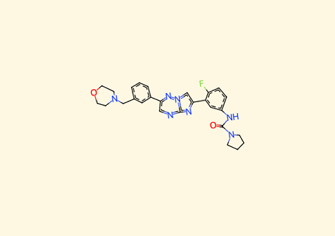 O=C(Nc1ccc(F)c(-c2cn3nc(-c4cccc(CN5CCOCC5)c4)cnc3n2)c1)N1CCCC1